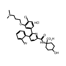 CC(C)c1ccccc1-c1ccc(C(=O)NC2(C(=O)O)CCC(O)CC2)nc1-c1ccc(Cl)c(OCCCN(C)C)c1.Cl